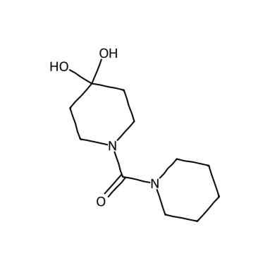 O=C(N1CCCCC1)N1CCC(O)(O)CC1